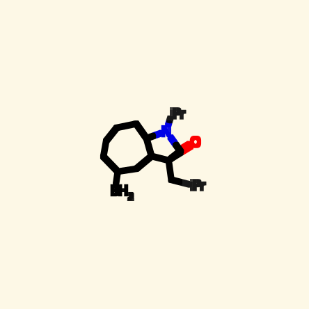 BC1CCCCC2C(C1)C(CC(C)C)C(=O)N2C(C)C